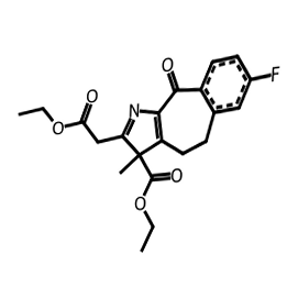 CCOC(=O)CC1=NC2=C(CCc3cc(F)ccc3C2=O)C1(C)C(=O)OCC